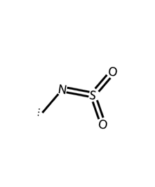 [C]N=S(=O)=O